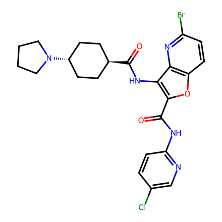 O=C(Nc1ccc(Cl)cn1)c1oc2ccc(Br)nc2c1NC(=O)[C@H]1CC[C@H](N2CCCC2)CC1